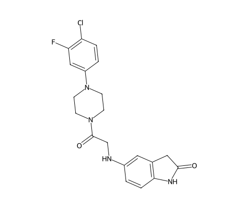 O=C1Cc2cc(NCC(=O)N3CCN(c4ccc(Cl)c(F)c4)CC3)ccc2N1